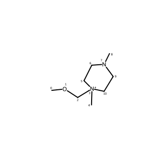 COC[N+]1(C)CCN(C)CC1